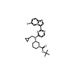 CC(C)(C)OC(=O)N1CCC[C@@H](N(CC2CC2)c2ccnc(-c3cnc4ccc(F)cn34)n2)C1